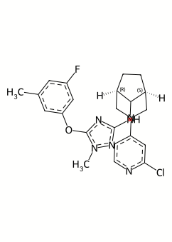 Cc1cc(F)cc(Oc2nc(NC3[C@@H]4CC[C@H]3CN(c3ccnc(Cl)c3)C4)nn2C)c1